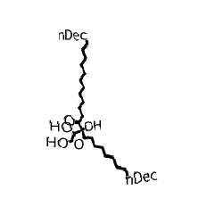 CCCCCCCCCCCCCCCCCCCCCC(=O)C(O)(C(=O)CCCCCCCCCCCCCCCCC)C(O)CO